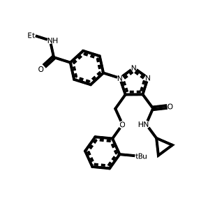 CCNC(=O)c1ccc(-n2nnc(C(=O)NC3CC3)c2COc2ccccc2C(C)(C)C)cc1